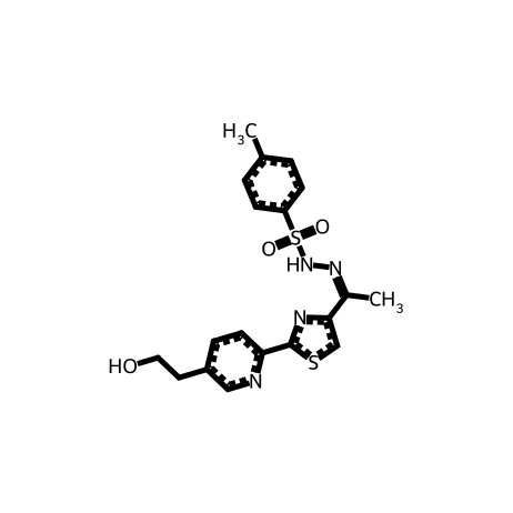 C/C(=N/NS(=O)(=O)c1ccc(C)cc1)c1csc(-c2ccc(CCO)cn2)n1